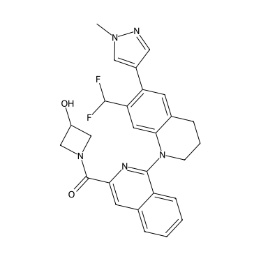 Cn1cc(-c2cc3c(cc2C(F)F)N(c2nc(C(=O)N4CC(O)C4)cc4ccccc24)CCC3)cn1